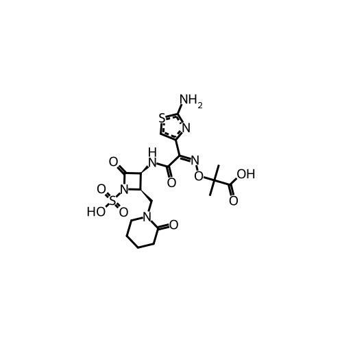 CC(C)(O/N=C(\C(=O)N[C@@H]1C(=O)N(S(=O)(=O)O)[C@@H]1CN1CCCCC1=O)c1csc(N)n1)C(=O)O